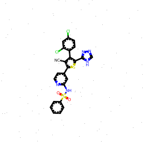 N#Cc1c(-c2ccnc(NS(=O)(=O)c3ccccc3)c2)sc(-c2nnc[nH]2)c1-c1ccc(Cl)cc1Cl